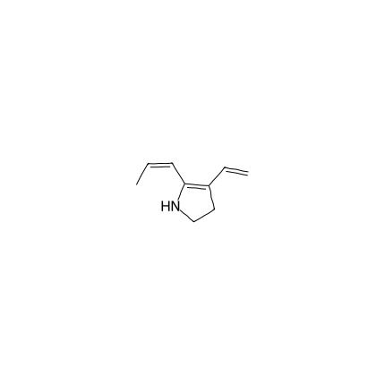 C=CC1=C(/C=C\C)NCC1